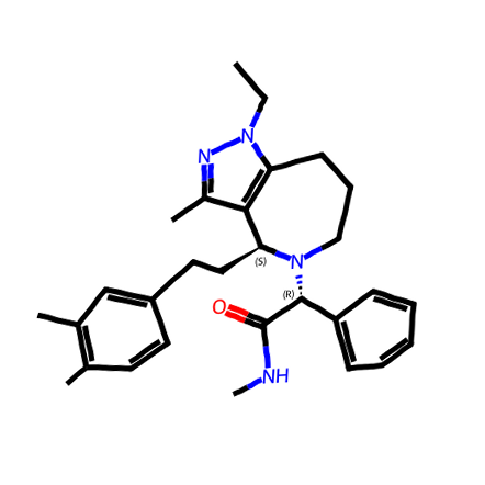 CCn1nc(C)c2c1CCCN([C@@H](C(=O)NC)c1ccccc1)[C@H]2CCc1ccc(C)c(C)c1